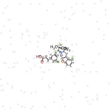 C[C@H]1Cc2c(oc3cccc(F)c23)[C@H](c2c(F)cc(/C=C/C(=O)O)cc2F)N1CC(C)(C)F